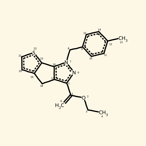 C=C(OCC)c1nn(Cc2ccc(C)cc2)c2c1Cc1ccsc1-2